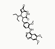 CCN(CC)N(c1cc(=O)c1=O)C(Cc1ccc(Nc2ncnc3cc(OC)c(OC)cc23)c(OC)c1)C(=O)O